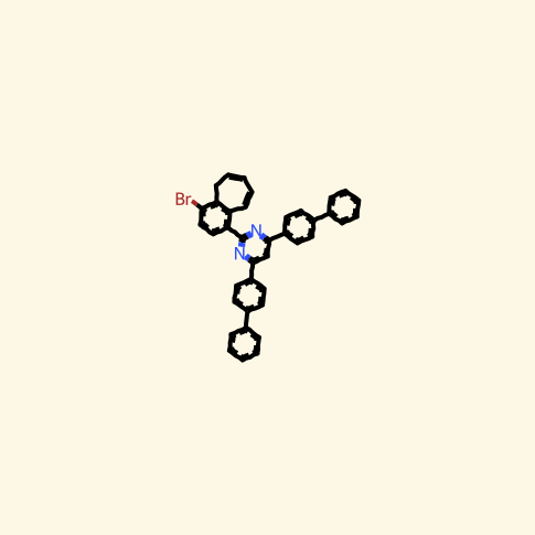 Brc1ccc(-c2nc(-c3ccc(-c4ccccc4)cc3)cc(-c3ccc(-c4ccccc4)cc3)n2)c2c1CC=CC=C2